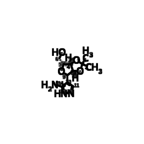 CC1(C)O[C@@H]2[C@@H](CO)OC(c3cn[nH]c3N)[C@@H]2O1